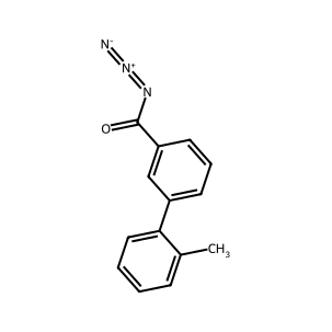 Cc1ccccc1-c1cccc(C(=O)N=[N+]=[N-])c1